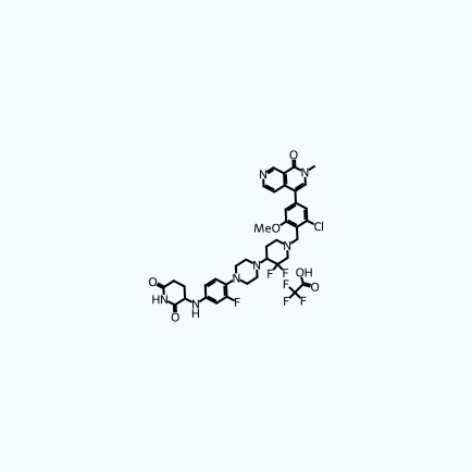 COc1cc(-c2cn(C)c(=O)c3cnccc23)cc(Cl)c1CN1CCC(N2CCN(c3ccc(NC4CCC(=O)NC4=O)cc3F)CC2)C(F)(F)C1.O=C(O)C(F)(F)F